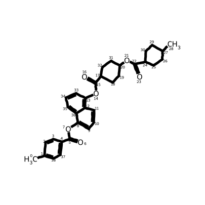 Cc1ccc(C(=O)Oc2cccc3c(OC(=O)C4CCC(OC(=O)C5CCC(C)CC5)CC4)cccc23)cc1